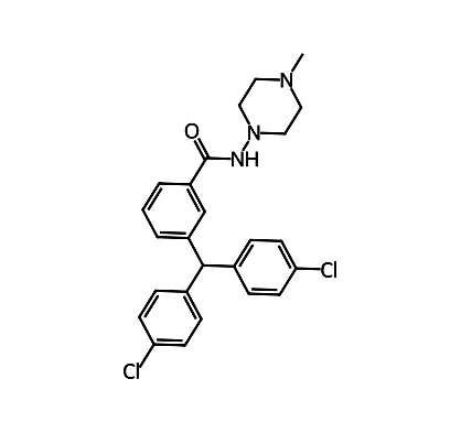 CN1CCN(NC(=O)c2cccc(C(c3ccc(Cl)cc3)c3ccc(Cl)cc3)c2)CC1